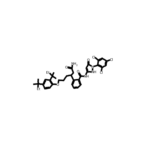 CCC(C)(C)c1ccc(OCCCC(CC(N)=O)c2ccccc2C(=O)Nc2cc(=O)n(-c3c(Cl)cc(Cl)cc3Cl)[nH]2)c(C(C)(C)CC)c1